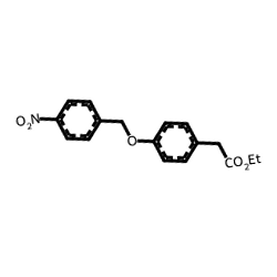 CCOC(=O)Cc1ccc(OCc2ccc([N+](=O)[O-])cc2)cc1